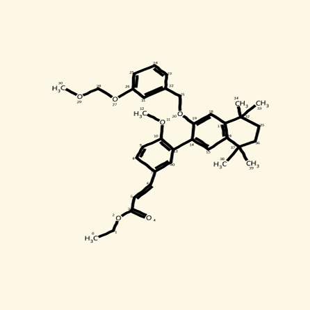 CCOC(=O)/C=C/c1ccc(OC)c(-c2cc3c(cc2OCc2cccc(OCOC)c2)C(C)(C)CCC3(C)C)c1